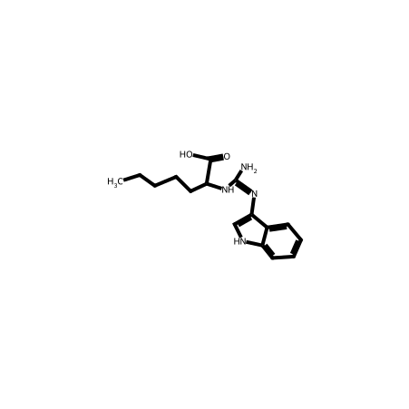 CCCCCC(NC(N)=Nc1c[nH]c2ccccc12)C(=O)O